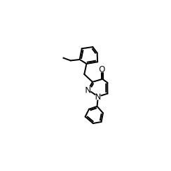 CCc1ccccc1Cc1nn(-c2ccccc2)ccc1=O